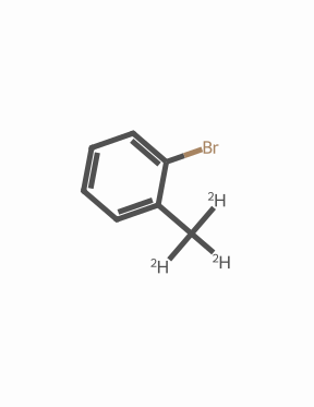 [2H]C([2H])([2H])c1ccccc1Br